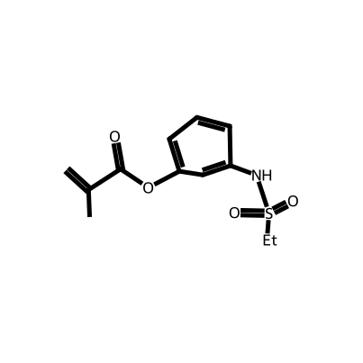 C=C(C)C(=O)Oc1cccc(NS(=O)(=O)CC)c1